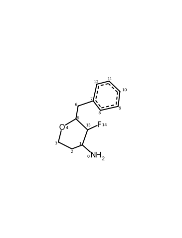 NC1CCOC(Cc2ccccc2)C1F